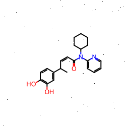 CC(/C=C\C(=O)N(c1ccccn1)C1CCCCC1)c1ccc(O)c(O)c1